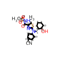 Cc1sc(N(C[C@@H]2CCCC[C@H]2O)c2ccc(C#N)cc2)nc1C(=O)NS(C)(=O)=O